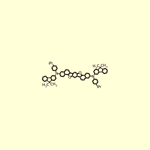 CC(C)c1ccc(N(c2ccc3c(c2)-c2ccccc2C3(C)C)c2ccc3c(ccc4c5cc6oc7c8ccc(N(c9ccc(C(C)C)cc9)c9ccc%10c(c9)-c9ccccc9C%10(C)C)cc8ccc7c6cc5oc34)c2)cc1